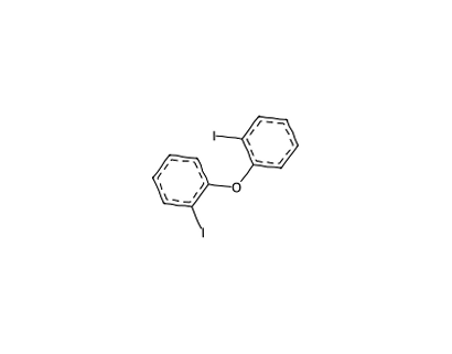 Ic1ccccc1Oc1ccccc1I